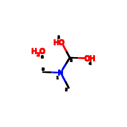 CN(C)C(O)O.O